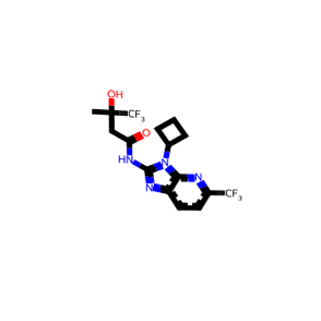 CC(O)(CC(=O)Nc1nc2ccc(C(F)(F)F)nc2n1C1CCC1)C(F)(F)F